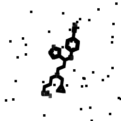 CCCCN(CCC(Oc1ccc(C#N)cc1)c1ccsc1)CC1CC1